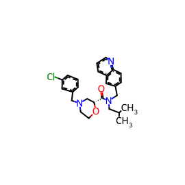 CC(C)CN(Cc1ccc2ncccc2c1)C(=O)[C@H]1CN(Cc2cccc(Cl)c2)CCO1